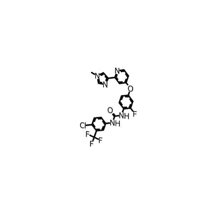 Cn1cnc(-c2cc(Oc3ccc(NC(=O)Nc4ccc(Cl)c(C(F)(F)F)c4)c(F)c3)ccn2)c1